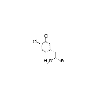 CC(C)[C@H](N)Cc1ccc(Cl)c(Cl)c1